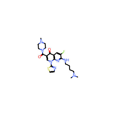 CN(C)CCCCNc1nc2c(cc1F)c(=O)c(C(=O)N1CCN(C)CC1)cn2-c1nccs1